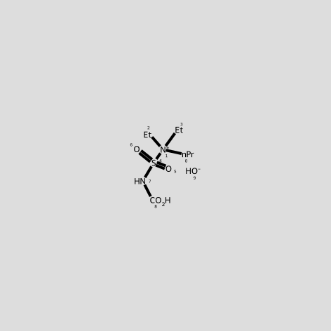 CCC[N+](CC)(CC)S(=O)(=O)NC(=O)O.[OH-]